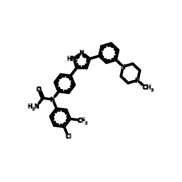 CN1CCN(c2cccc(-c3cc(-c4ccc(N(C(N)=O)c5ccc(Cl)c(C(F)(F)F)c5)cc4)[nH]n3)c2)CC1